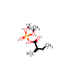 C=C(CC)C(=O)OP(=O)(OC)OC